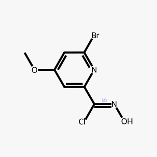 COc1cc(Br)nc(/C(Cl)=N/O)c1